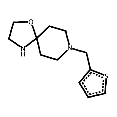 c1csc(CN2CCC3(CC2)NCCO3)c1